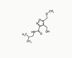 COCc1onc(C(=O)NCC(C)C)c1CO